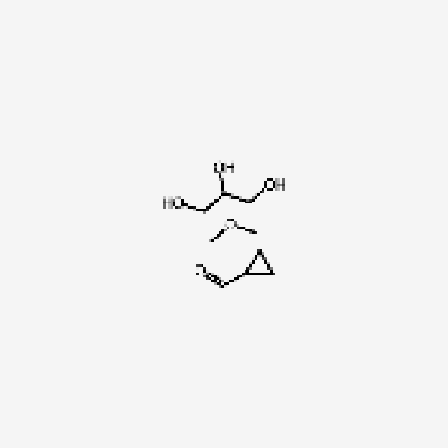 COC.O=CC1CC1.OCC(O)CO